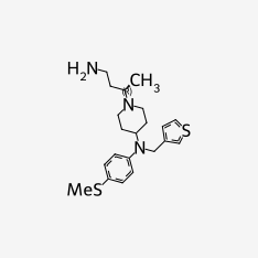 CSc1ccc(N(Cc2ccsc2)C2CCN([C@H](C)CCN)CC2)cc1